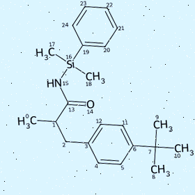 CC(Cc1ccc(C(C)(C)C)cc1)C(=O)N[Si](C)(C)c1ccccc1